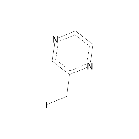 ICc1cnccn1